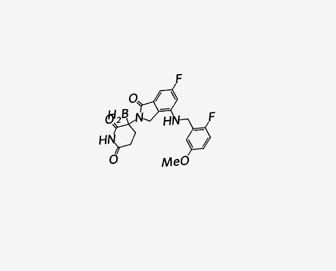 BC1(N2Cc3c(NCc4cc(OC)ccc4F)cc(F)cc3C2=O)CCC(=O)NC1=O